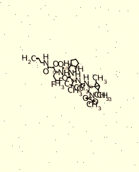 C=CCNC(=O)C(=O)[C@H](CC(F)F)NC(=O)[C@@H]1[C@H]2CCC[C@H]2CN1C(=O)[C@@H](NC(=O)N[C@H](CN(C)S(C)(=O)=O)C12C(C)C1C2C)C(C)(C)C